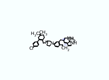 C=Cc1ccc(N2CCN(CC3=C(c4ccc(Cl)cc4)CC(C)(C)CC3)CC2)cc1CC(=C/N)/C=c1/cc[nH]c1=C